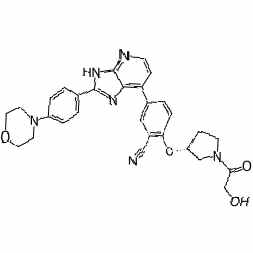 N#Cc1cc(-c2ccnc3[nH]c(-c4ccc(N5CCOCC5)cc4)nc23)ccc1O[C@@H]1CCN(C(=O)CO)C1